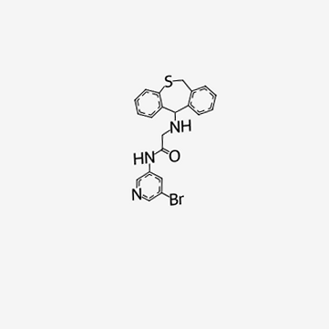 O=C(CNC1c2ccccc2CSc2ccccc21)Nc1cncc(Br)c1